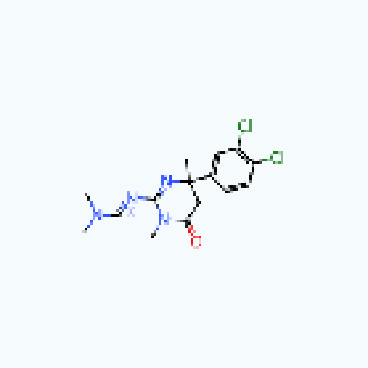 CN(C)/C=N/C1=NC(C)(c2ccc(Cl)c(Cl)c2)CC(=O)N1C